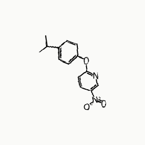 CC(C)c1ccc(Oc2ccc([N+](=O)[O-])cn2)cc1